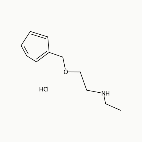 CCNCCOCc1ccccc1.Cl